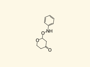 O=C1CCOC(ONc2ccccc2)C1